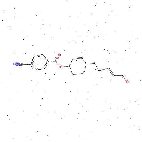 N#Cc1ccc(C(=O)OC2CCC(CC/C=C/C=O)CC2)cc1